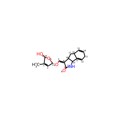 CC1=C[C@@H](O/C=C2\C(=O)NC3C4=CCC=CC4CC23)OC1O